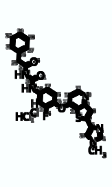 Cl.Cl.Cn1cnc(-c2cc3nccc(Oc4ccc(NC(=O)NC(=O)Cc5ccccc5)cc4F)c3s2)c1